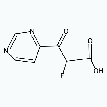 O=C(O)C(F)C(=O)c1ccncn1